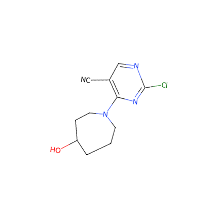 N#Cc1cnc(Cl)nc1N1CCCC(O)CC1